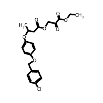 CCOC(=O)C(=O)COC(=O)CC(C)Oc1ccc(OCc2ccc(Cl)cc2)cc1